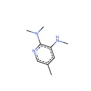 CNc1cc(C)cnc1N(C)C